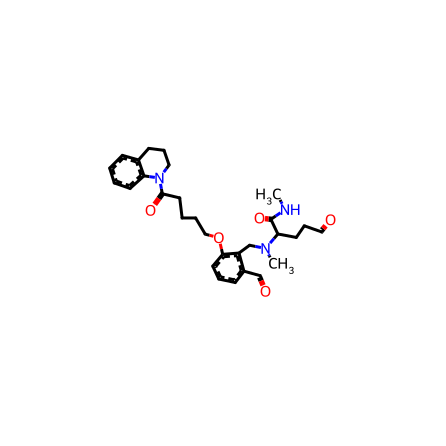 CNC(=O)C(CCC=O)N(C)Cc1c(C=O)cccc1OCCCCC(=O)N1CCCc2ccccc21